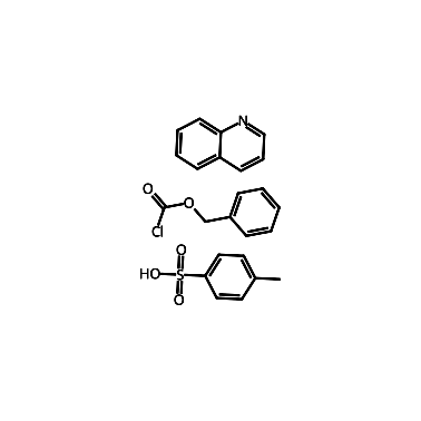 Cc1ccc(S(=O)(=O)O)cc1.O=C(Cl)OCc1ccccc1.c1ccc2ncccc2c1